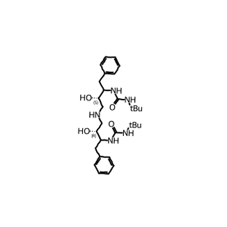 CC(C)(C)NC(=O)NC(Cc1ccccc1)[C@H](O)CNC[C@H](O)C(Cc1ccccc1)NC(=O)NC(C)(C)C